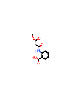 COC(=O)CC(=O)Nc1ccccc1C(=O)O